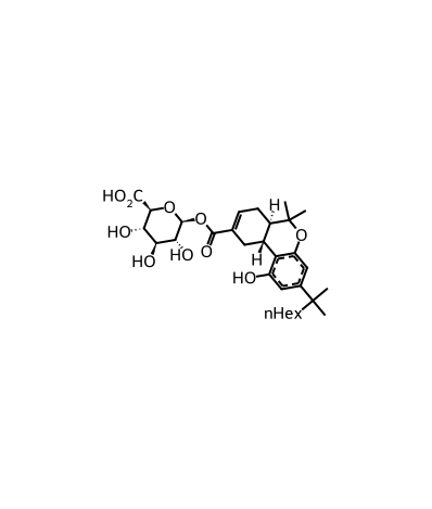 CCCCCCC(C)(C)c1cc(O)c2c(c1)OC(C)(C)[C@@H]1CC=C(C(=O)O[C@@H]3O[C@H](C(=O)O)[C@@H](O)[C@H](O)[C@H]3O)C[C@@H]21